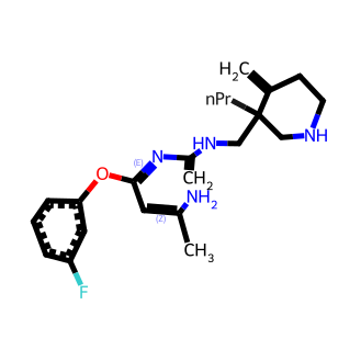 C=C(/N=C(\C=C(\C)N)Oc1cccc(F)c1)NCC1(CCC)CNCCC1=C